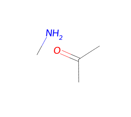 CC(C)=O.CN